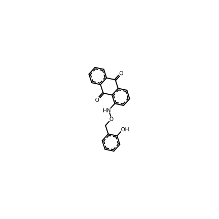 O=C1c2ccccc2C(=O)c2c(NOCc3ccccc3O)cccc21